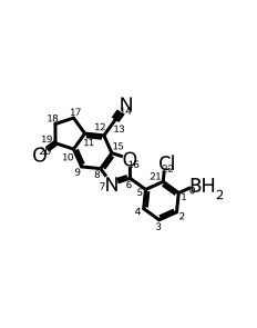 Bc1cccc(-c2nc3cc4c(c(C#N)c3o2)CCC4=O)c1Cl